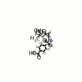 CCC(C)(C)CC1(C)C/C1=N/S(=O)(=O)c1ccc(C(=O)O)cc1